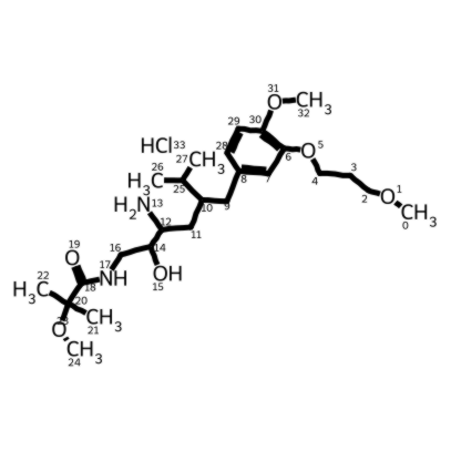 COCCCOc1cc(CC(CC(N)C(O)CNC(=O)C(C)(C)OC)C(C)C)ccc1OC.Cl